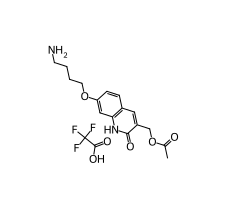 CC(=O)OCc1cc2ccc(OCCCCN)cc2[nH]c1=O.O=C(O)C(F)(F)F